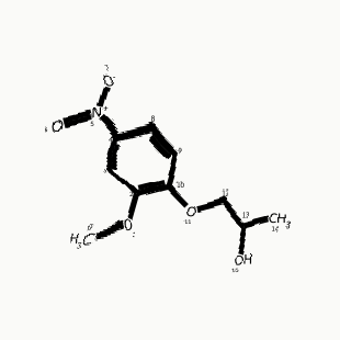 COc1cc([N+](=O)[O-])ccc1OCC(C)O